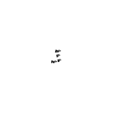 [Fe+2].[S-2].[S-2].[Zn+2]